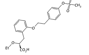 CCO[C@@H](Cc1ccccc1OCCc1ccc(OS(C)(=O)=O)cc1)C(=O)O